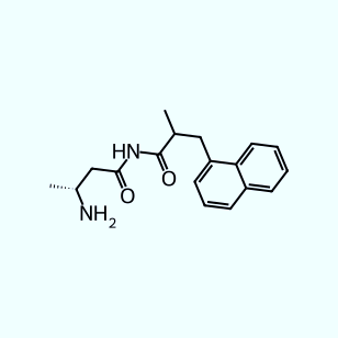 CC(Cc1cccc2ccccc12)C(=O)NC(=O)C[C@@H](C)N